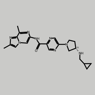 Cc1cn2cc(NC(=O)c3cnc(N4CC[C@H](NCC5CC5)C4)cn3)nc(C)c2n1